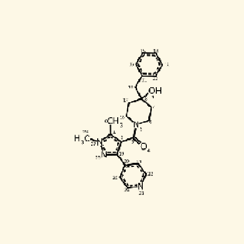 Cc1c(C(=O)N2CCC(O)(Cc3ccccc3)CC2)c(-c2ccncc2)nn1C